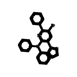 Brc1cc(-n2cccn2)c(N(c2ccccc2)c2ccccc2)nc1-c1ccccc1